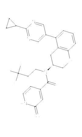 O=C(c1cc[nH]c(=O)c1)N(CCC(F)(F)F)[C@@H]1COc2cccc(-c3cnc(C4CC4)nc3)c2C1